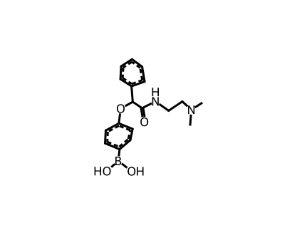 CN(C)CCNC(=O)C(Oc1ccc(B(O)O)cc1)c1ccccc1